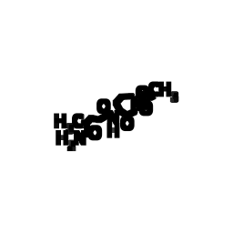 CCS(=O)(=O)N1CCC[C@H](NC(=O)[CH]CC(C)C(N)=O)C(=O)C1